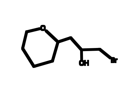 OC(CBr)CC1CCCCO1